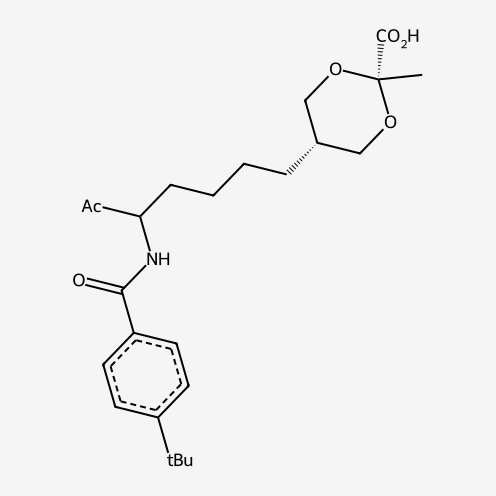 CC(=O)C(CCCC[C@H]1CO[C@@](C)(C(=O)O)OC1)NC(=O)c1ccc(C(C)(C)C)cc1